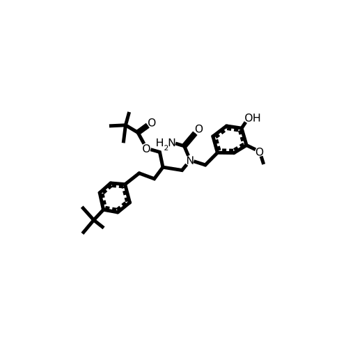 COc1cc(CN(CC(CCc2ccc(C(C)(C)C)cc2)COC(=O)C(C)(C)C)C(N)=O)ccc1O